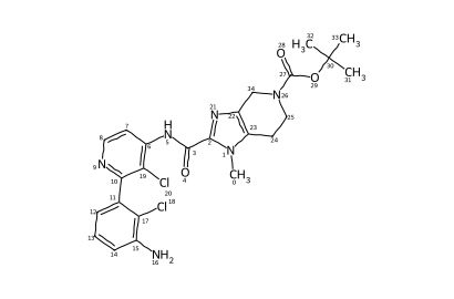 Cn1c(C(=O)Nc2ccnc(-c3cccc(N)c3Cl)c2Cl)nc2c1CCN(C(=O)OC(C)(C)C)C2